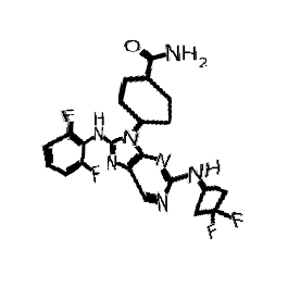 NC(=O)C1CCC(n2c(Nc3c(F)cccc3F)nc3cnc(NC4CC(F)(F)C4)nc32)CC1